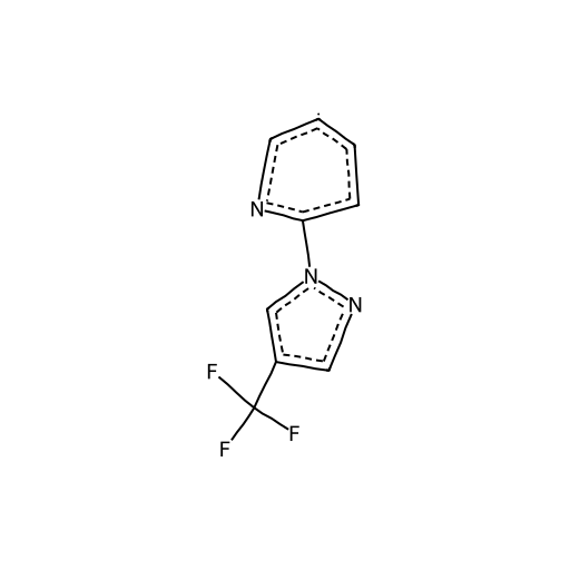 FC(F)(F)c1cnn(-c2cc[c]cn2)c1